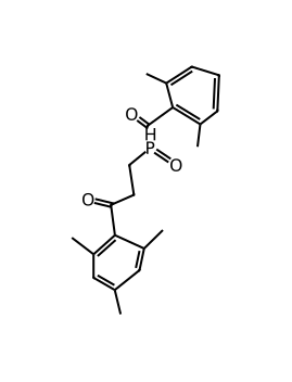 Cc1cc(C)c(C(=O)CC[PH](=O)C(=O)c2c(C)cccc2C)c(C)c1